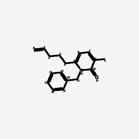 C=CCCCc1ccc(C)c(=O)n1Cc1ccccc1